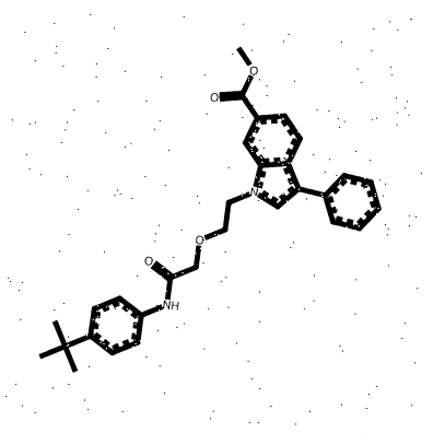 COC(=O)c1ccc2c(-c3ccccc3)cn(CCOCC(=O)Nc3ccc(C(C)(C)C)cc3)c2c1